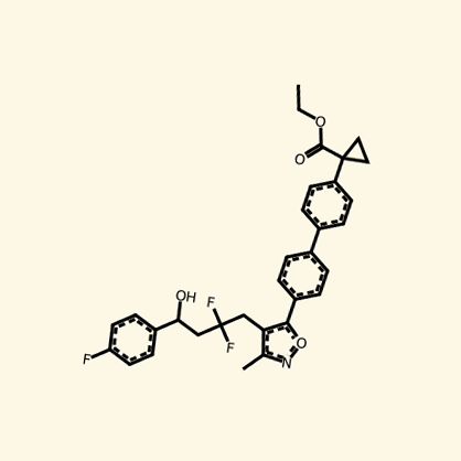 CCOC(=O)C1(c2ccc(-c3ccc(-c4onc(C)c4CC(F)(F)CC(O)c4ccc(F)cc4)cc3)cc2)CC1